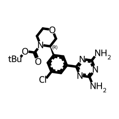 CC(C)(C)OC(=O)N1CCOC[C@H]1c1cc(Cl)cc(-c2nc(N)nc(N)n2)c1